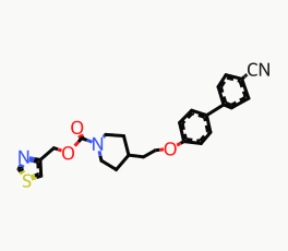 N#Cc1ccc(-c2ccc(OCCC3CCN(C(=O)OCc4cscn4)CC3)cc2)cc1